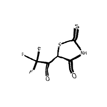 O=C1NC(=S)SC1C(=O)C(F)(F)F